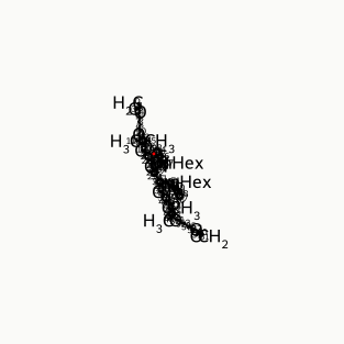 C=CC(=O)OCCCCCCOc1cc(C)c(OC(=O)C2CCC(C(=O)Oc3ccc(-c4ccc(OC(=O)C5CCC(C(=O)Oc6cc(C)c(OCCCCCCOC(=O)C=C)cc6C)CC5)c(/C=N/N(CCCCCC)c5nc6ccccc6s5)c4)cc3/C=N/N(CCCCCC)c3nc4ccccc4s3)CC2)cc1C